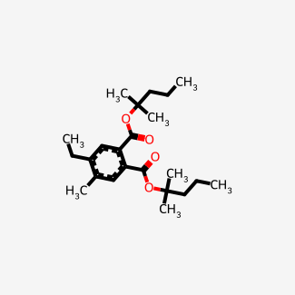 CCCC(C)(C)OC(=O)c1cc(C)c(CC)cc1C(=O)OC(C)(C)CCC